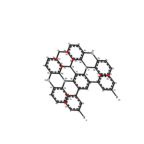 Fc1cccc(-c2cc(-c3cccc(F)c3)c(N3c4ccccc4Oc4ccccc43)c(C3CCCCC3)c2N2c3ccccc3Oc3ccccc32)c1